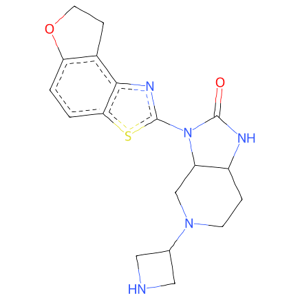 O=C1NC2CCN(C3CNC3)CC2N1c1nc2c3c(ccc2s1)OCC3